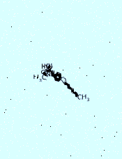 CCCCCCCCOc1ccc(CCC(CO)(CO)NC(C)=O)cc1